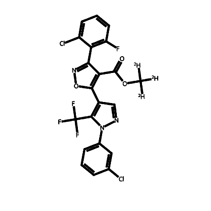 [2H]C([2H])([2H])OC(=O)c1c(-c2c(F)cccc2Cl)noc1-c1cnn(-c2cccc(Cl)c2)c1C(F)(F)F